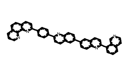 c1cc(-c2ccc3cc(-c4ccc5nc(-c6ccc(-c7ccc8ccc9cccnc9c8n7)cc6)ccc5c4)ccc3n2)c2cnccc2c1